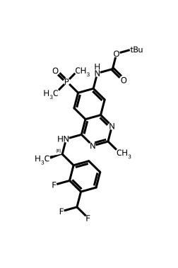 Cc1nc(N[C@H](C)c2cccc(C(F)F)c2F)c2cc(P(C)(C)=O)c(NC(=O)OC(C)(C)C)cc2n1